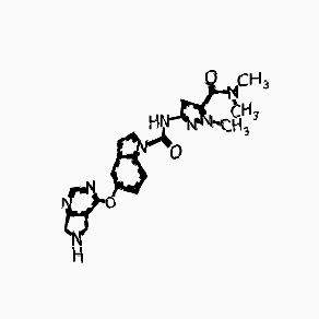 CN(C)C(=O)c1cc(NC(=O)n2ccc3cc(Oc4ncnc5c4CNC5)ccc32)nn1C